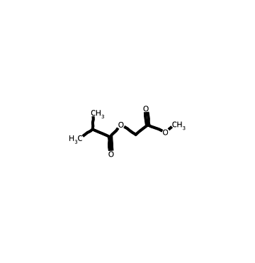 COC(=O)COC(=O)C(C)C